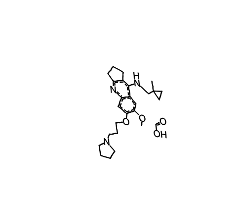 COc1cc2c(NCC3(C)CC3)c3c(nc2cc1OCCCN1CCCC1)CCC3.O=CO